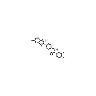 Cc1ccc2[nH]c(-c3ccc(NC(=O)c4ccc(C)c(C)c4)cc3)nc2c1